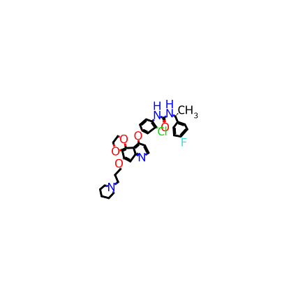 C[C@@H](NC(=O)Nc1ccc(Oc2ccnc3cc(OCCCN4CCCCC4)c4c(c23)OCCO4)cc1Cl)c1ccc(F)cc1